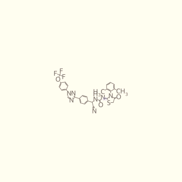 Cc1cccc(C)c1N1C(=O)CS/C1=N\C(=O)NC(C#N)c1ccc(-c2ncn(-c3ccc(OC(F)(F)F)cc3)n2)cc1